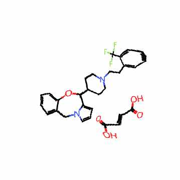 FC(F)(F)c1ccccc1CCN1CCC(C2Oc3ccccc3Cn3cccc32)CC1.O=C(O)C=CC(=O)O